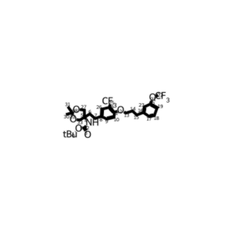 CC(C)(C)OC(=O)NC1(CCc2ccc(OCCCc3cccc(OC(F)(F)F)c3)c(C(F)(F)F)c2)COC(C)(C)OC1